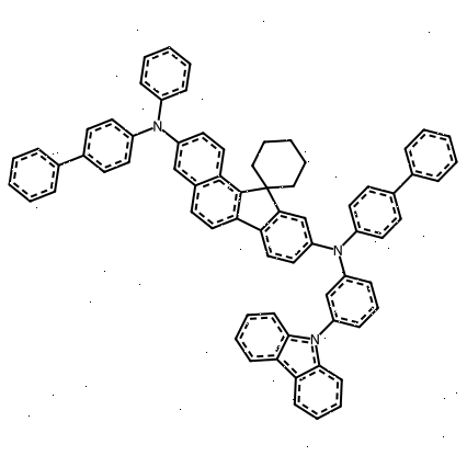 c1ccc(-c2ccc(N(c3cccc(-n4c5ccccc5c5ccccc54)c3)c3ccc4c(c3)C3(CCCCC3)c3c-4ccc4cc(N(c5ccccc5)c5ccc(-c6ccccc6)cc5)ccc34)cc2)cc1